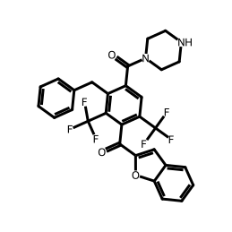 O=C(c1cc2ccccc2o1)c1c(C(F)(F)F)cc(C(=O)N2CCNCC2)c(Cc2ccccc2)c1C(F)(F)F